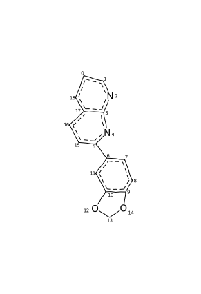 c1cnc2nc(-c3ccc4c(c3)OCO4)ccc2c1